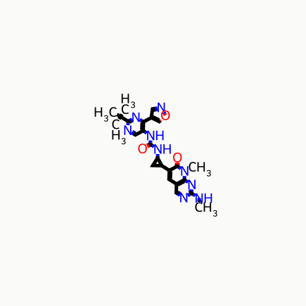 CNc1ncc2cc(C3CC3NC(=O)Nc3cnc(C(C)(C)C)nc3-c3cnoc3)c(=O)n(C)c2n1